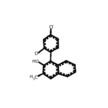 Cc1cc2ccccc2c(-c2ccc(Cl)cc2Cl)c1O